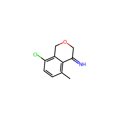 Cc1ccc(Cl)c2c1C(=N)COC2